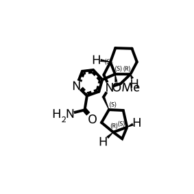 CO[C@]1(c2ccnc(C(N)=O)c2)[C@@H]2CCC[C@H]1CN(C[C@H]1C[C@@H]3C[C@@H]3C1)C2